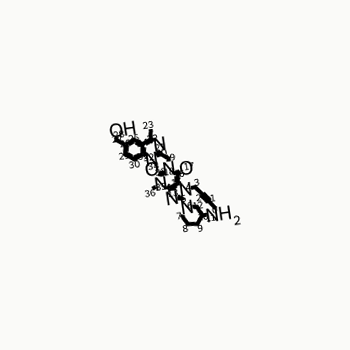 CC#CCn1c(N2CCCC(N)C2)nc2c1c(=O)n(Cc1nc(C)c3cc(CO)ccc3n1)c(=O)n2C